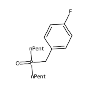 CCCCCP(=O)(CCCCC)Cc1ccc(F)cc1